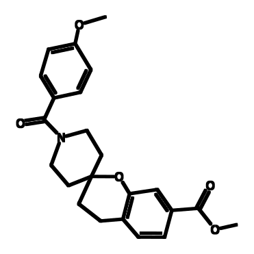 COC(=O)c1ccc2c(c1)OC1(CC2)CCN(C(=O)c2ccc(OC)cc2)CC1